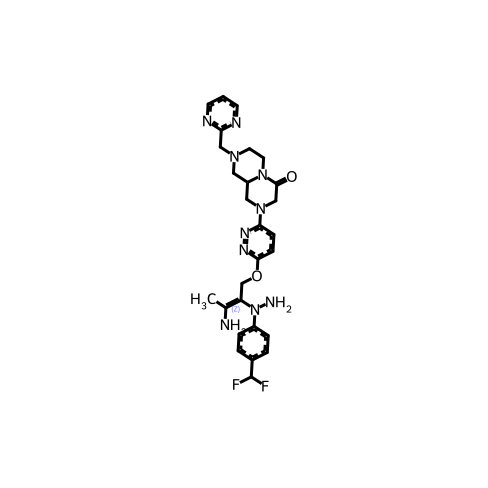 C/C(N)=C(\COc1ccc(N2CC(=O)N3CCN(Cc4ncccn4)CC3C2)nn1)N(N)c1ccc(C(F)F)cc1